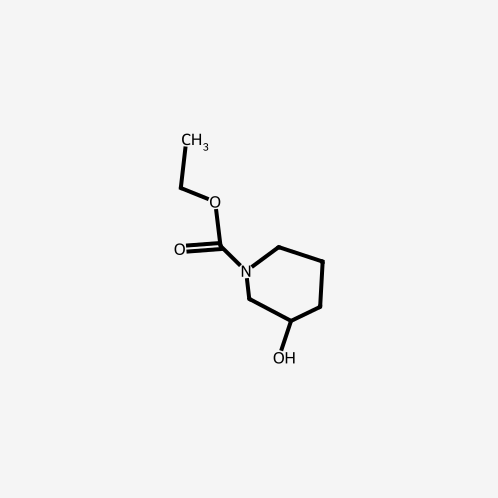 CCOC(=O)N1CCCC(O)C1